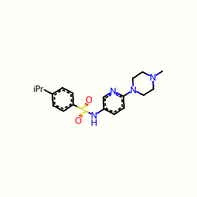 CC(C)c1ccc(S(=O)(=O)Nc2ccc(N3CCN(C)CC3)nc2)cc1